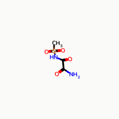 CS(=O)(=O)NC(=O)C(N)=O